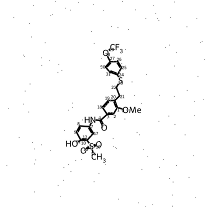 COc1cc(C(=O)Nc2ccc(O)c(S(C)(=O)=O)c2)ccc1CCSc1ccc(OC(F)(F)F)cc1